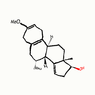 CCCC[C@@H]1CC2=C(CC=C(OC)C2)[C@H]2CC[C@@]3(C)C(=CC[C@@H]3O)[C@H]12